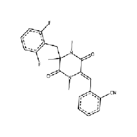 CN1C(=O)C(C)(Cc2c(F)cccc2F)N(C)C(=O)C1=Cc1ccccc1C#N